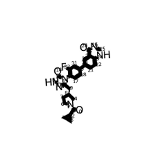 O=C(C1CC1)N1CC[C@@H](Cc2n[nH]c(=O)n2-c2ccc(-c3ccc4[nH]cnc(=O)c4c3)cc2F)C1